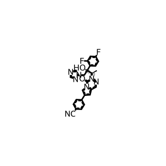 C[C@@H](n1ncc2cc(-c3ccc(C#N)cc3)cn2c1=O)[C@](O)(Cn1cncn1)c1ccc(F)cc1F